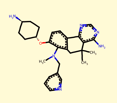 CN(Cc1cccnc1)c1c(O[C@H]2CC[C@H](N)CC2)ccc2c1CC(C)(C)c1c(N)ncnc1-2